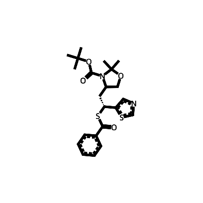 CC(C)(C)OC(=O)N1C(C[C@@H](SC(=O)c2ccccc2)c2cncs2)COC1(C)C